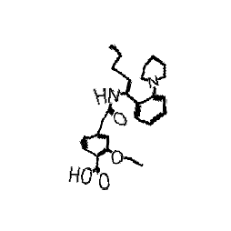 CCCCC(NC(=O)Cc1ccc(C(=O)O)c(OCC)c1)c1ccccc1N1CCCCC1